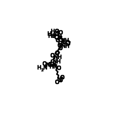 CC(C)(S)[C@H](C(=O)O)N1C[C@H](NC(=O)[C@H](NC(=O)OCc2ccc(NC(=O)[C@H](CCCNC(N)=O)NC(=O)CNC(=O)CCCCCN3C(=O)C=CC3=O)cc2)C2=CC=CCC2)C1=O